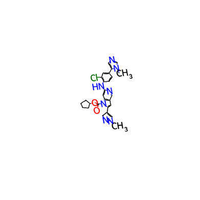 Cn1cc(-c2cc3cnc(Nc4ccc(-c5cncn5C)cc4Cl)cc3n2C(=O)OC2CCCC2)cn1